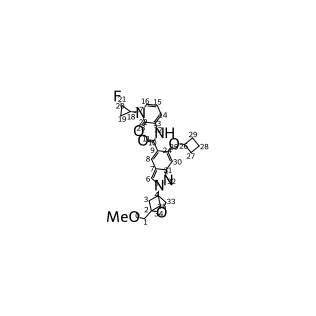 COCC12CC(n3cc4cc(C(=O)Nc5cccn([C@H]6C[C@@H]6F)c5=O)c(OC5CCC5)cc4n3)(CO1)C2